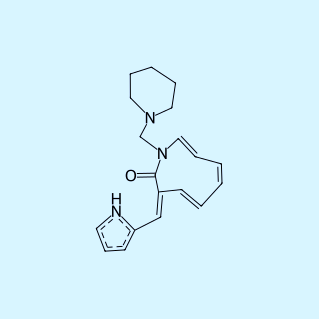 O=C1C(=C\c2ccc[nH]2)/C=C/C=C\C=C\N1CN1CCCCC1